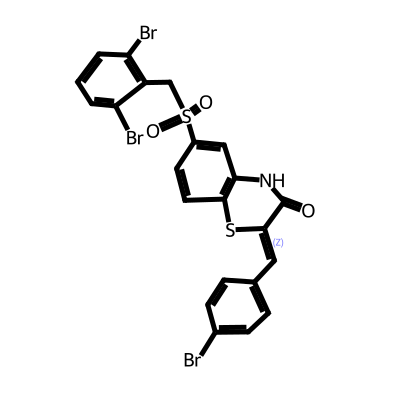 O=C1Nc2cc(S(=O)(=O)Cc3c(Br)cccc3Br)ccc2S/C1=C\c1ccc(Br)cc1